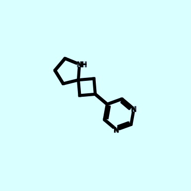 c1ncc(C2CC3(CCCN3)C2)cn1